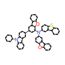 c1ccc(-n2c3ccccc3c3cc(-c4cc(N(c5ccc6oc7ccccc7c6c5)c5ccc6sc7ccccc7c6c5)c5oc6ccccc6c5c4)ccc32)cc1